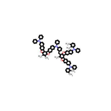 Cc1cccc(N(c2ccccc2)c2ccc3cc4c(cc3c2)oc2c(C)c(Cc3cccc(N(c5ccccc5)c5ccc6cc7c(cc6c5)oc5c(C)c(C)c6oc8cc9cc(N(c%10ccccc%10)c%10ccccc%10)ccc9cc8c6c57)c3)c3oc5cc6cc(N(c7ccccc7)c7cccc(C)c7C)ccc6cc5c3c24)c1C